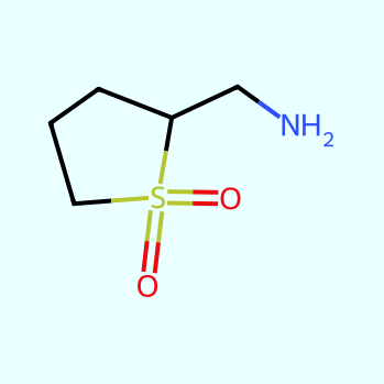 NCC1CCCS1(=O)=O